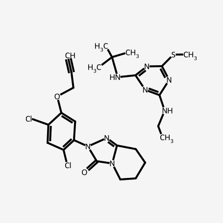 C#CCOc1cc(-n2nc3n(c2=O)CCCC3)c(Cl)cc1Cl.CCNc1nc(NC(C)(C)C)nc(SC)n1